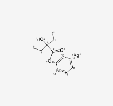 CCC(O)(CC)C(=O)[O-].[Ag+].c1ccncc1